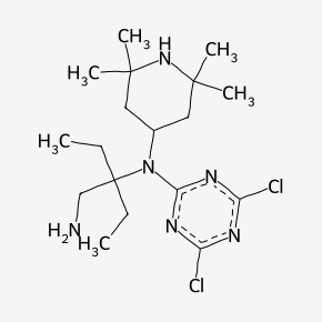 CCC(CC)(CN)N(c1nc(Cl)nc(Cl)n1)C1CC(C)(C)NC(C)(C)C1